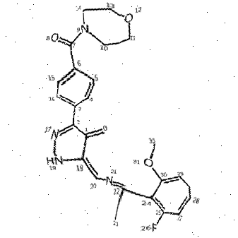 C=c1c(-c2ccc(C(=O)N3CCOCC3)cc2)n[nH]/c1=C/N=C(\C)c1c(F)cccc1OC